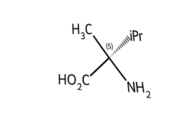 CC(C)[C@](C)(N)C(=O)O